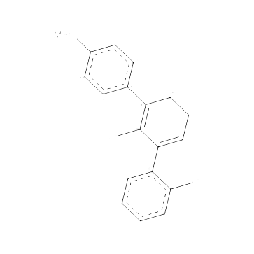 COc1ccc(C2=C(Cl)C(c3ccccc3Cl)=CC[CH]2)cc1